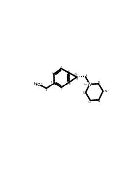 OCc1ccc2c(c1)[C@H]2CN1CCCCC1